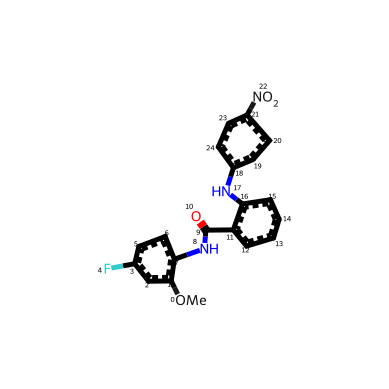 COc1cc(F)ccc1NC(=O)c1ccccc1Nc1ccc([N+](=O)[O-])cc1